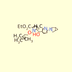 CCOC(=O)c1ccc(C(O)c2ccc(N3CC4CC4C3)nc2C)n1COCC[Si](C)(C)C